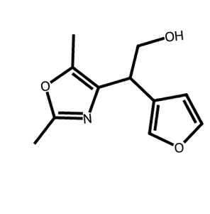 Cc1nc(C(CO)c2ccoc2)c(C)o1